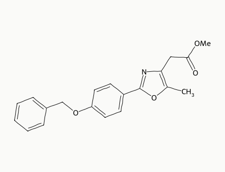 COC(=O)Cc1nc(-c2ccc(OCc3ccccc3)cc2)oc1C